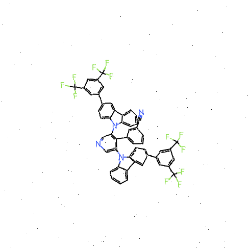 N#Cc1cccc(-c2c(-n3c4ccccc4c4cc(-c5cc(C(F)(F)F)cc(C(F)(F)F)c5)ccc43)cncc2-n2c3ccccc3c3cc(-c4cc(C(F)(F)F)cc(C(F)(F)F)c4)ccc32)c1